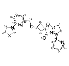 O=C1N2C(CC[C@H]2c2cnccn2)OC12CC(OCc1cccc(N3CCCC3)n1)C2